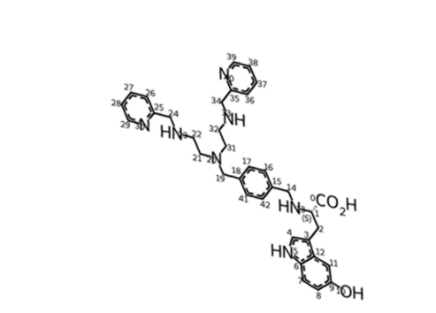 O=C(O)[C@H](Cc1c[nH]c2ccc(O)cc12)NCc1ccc(CN(CCNCc2ccccn2)CCNCc2ccccn2)cc1